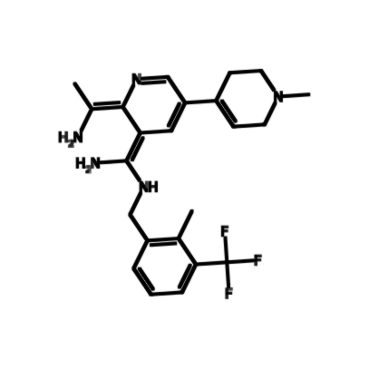 C/C(N)=c1\ncc(C2=CCN(C)CC2)c\c1=C(\N)NCc1cccc(C(F)(F)F)c1C